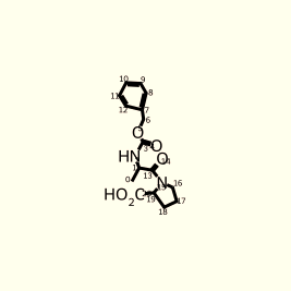 CC(NC(=O)OCc1ccccc1)C(=O)N1CCCC1C(=O)O